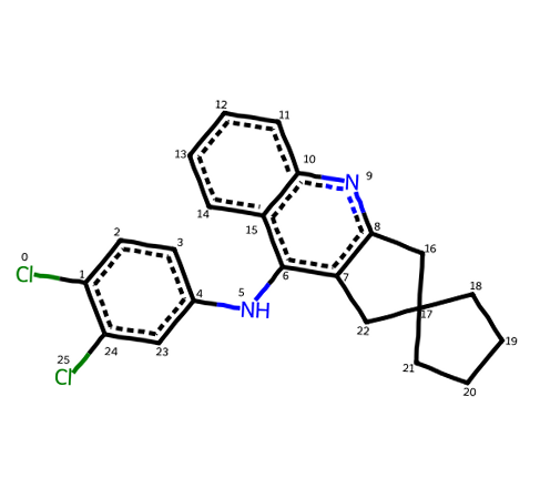 Clc1ccc(Nc2c3c(nc4ccccc24)CC2(CCCC2)C3)cc1Cl